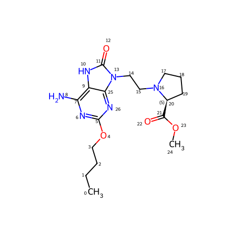 CCCCOc1nc(N)c2[nH]c(=O)n(CCN3CCC[C@H]3C(=O)OC)c2n1